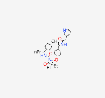 CCC[C@@H](NC(=O)N1C(=O)C(CC)(CC)[C@@H]1Oc1ccc(CNC(=O)Cc2cccnc2)cc1)c1ccc(C)cc1